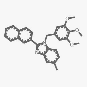 COc1cc(Cn2c(-c3ccc4ccccc4c3)nc3cc(C)ccc32)cc(OC)c1OC